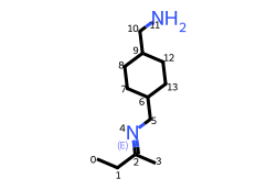 CC/C(C)=N/CC1CCC(CN)CC1